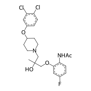 CC(=O)Nc1ccc(F)cc1OCC(C)(O)CN1CCC(Oc2ccc(Cl)c(Cl)c2)CC1